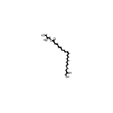 O=C(CCCCCCC/C=C\CCCCCCCCCC(O)CO)OCC(O)CO